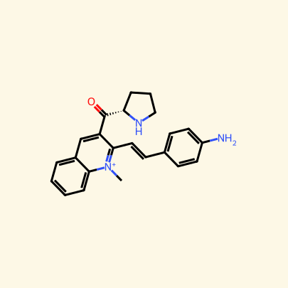 C[n+]1c(C=Cc2ccc(N)cc2)c(C(=O)[C@@H]2CCCN2)cc2ccccc21